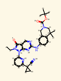 CCn1c(=O)c2cnc(Nc3ccc4c(c3)CN(C(=O)OC(C)(C)C)CC4(C)C)nc2n1-c1cccc(C2(C#N)CC2)n1